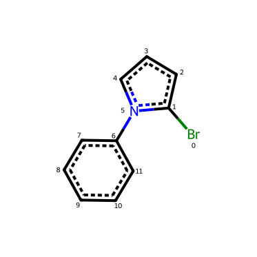 Brc1cccn1-c1ccccc1